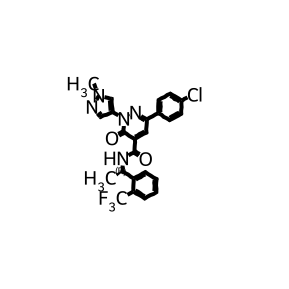 C[C@@H](NC(=O)c1cc(-c2ccc(Cl)cc2)nn(-c2cnn(C)c2)c1=O)c1ccccc1C(F)(F)F